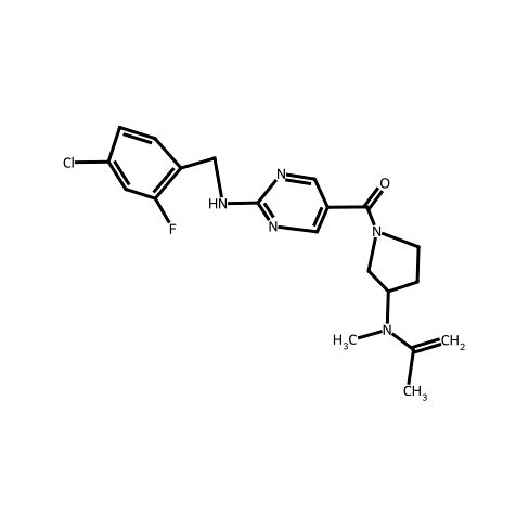 C=C(C)N(C)C1CCN(C(=O)c2cnc(NCc3ccc(Cl)cc3F)nc2)C1